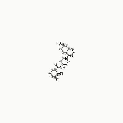 O=C(NC1CCN(c2ncnc3cc(C(F)(F)F)ccc23)CC1)c1cccc(Cl)c1Cl